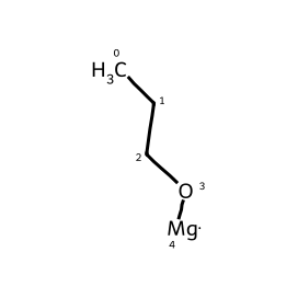 CCC[O][Mg]